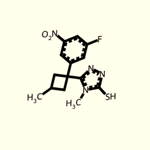 CC1CC(c2cc(F)cc([N+](=O)[O-])c2)(c2nnc(S)n2C)C1